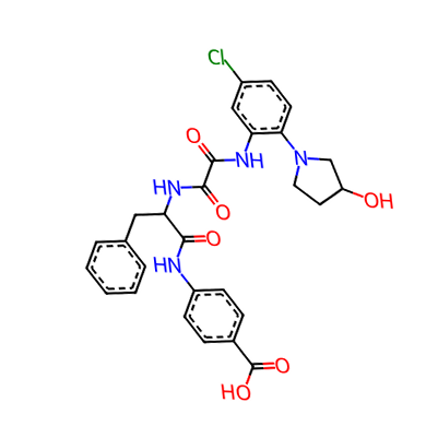 O=C(Nc1cc(Cl)ccc1N1CCC(O)C1)C(=O)NC(Cc1ccccc1)C(=O)Nc1ccc(C(=O)O)cc1